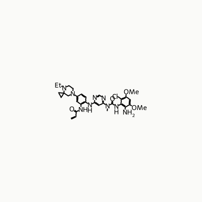 C=CC(=O)Nc1cc(N2CCN(CC)C3(CC3)C2)ccc1Nc1cc(N(C)C(=O)Nc2c(N)c(OC)cc(OC)c2Cl)ncn1